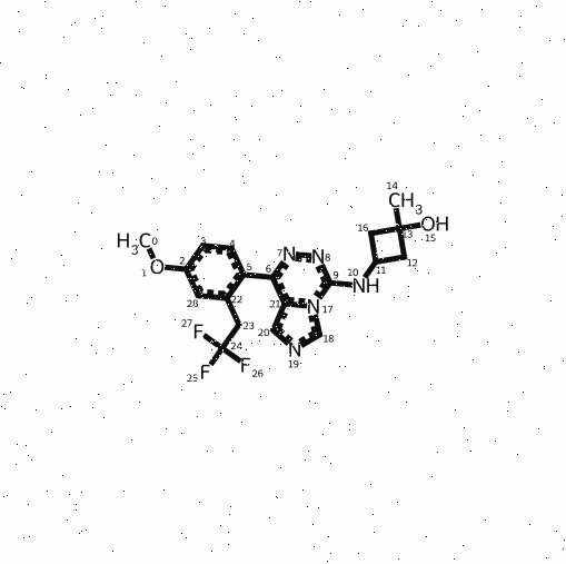 COc1ccc(-c2nnc(NC3CC(C)(O)C3)n3cncc23)c(CC(F)(F)F)c1